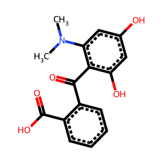 CN(C)c1cc(O)cc(O)c1C(=O)c1ccccc1C(=O)O